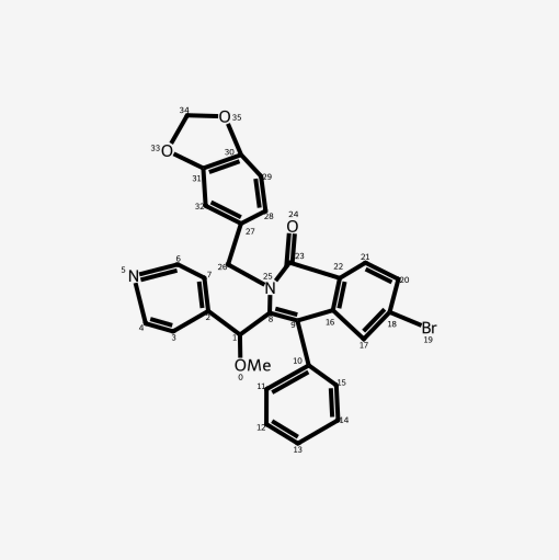 COC(c1ccncc1)c1c(-c2ccccc2)c2cc(Br)ccc2c(=O)n1Cc1ccc2c(c1)OCO2